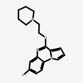 Fc1ccc2c(c1)nc(OCCN1CCCCC1)c1cccn12